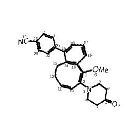 CO/C1=C(N2CCC(=O)CC2)/C=C\CCc2c1cccc2-c1ccc(C#N)cc1